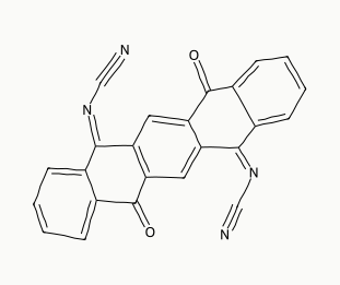 N#C/N=c1/c2ccccc2c(=O)c2cc3/c(=N\C#N)c4ccccc4c(=O)c3cc12